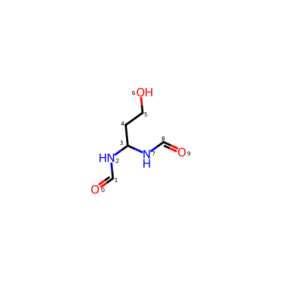 O=CNC(CCO)NC=O